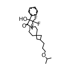 CC(C)OCCCC1CC2(CCN(C(=O)C(O)(c3ccccc3)C(F)(F)F)CC2)C1